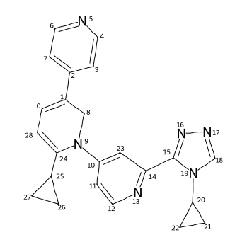 C1=C(c2ccncc2)CN(c2ccnc(-c3nncn3C3CC3)c2)C(C2CC2)=C1